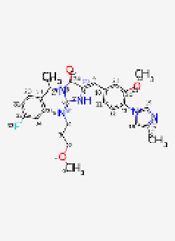 COCCC/N=C1\N/C(=C\c2ccc(-n3cnc(C)c3)c(OC)c2)C(=O)N1C(C)c1ccc(F)cc1